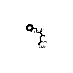 COCC(O)CC(C)C(=O)NCc1ccccc1